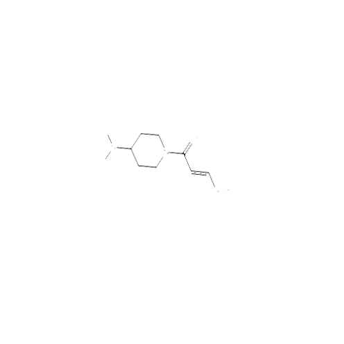 CCCCCCC/C=C/C(=O)N1CCC(N(CC)CC)CC1